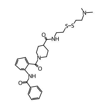 CN(C)CCSSCCNC(=O)C1CCN(C(=O)c2ccccc2NC(=O)c2ccccc2)CC1